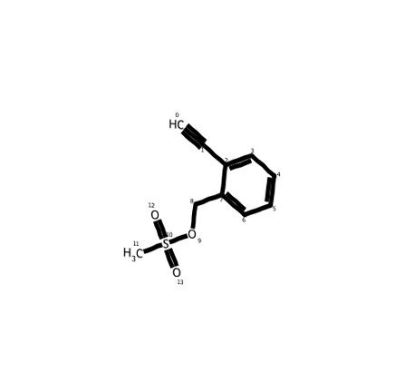 C#Cc1ccccc1COS(C)(=O)=O